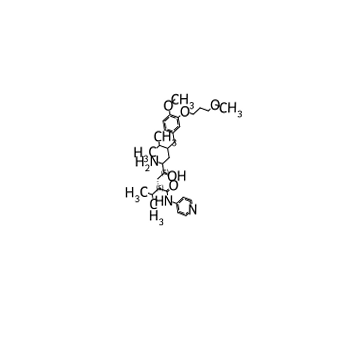 COCCCOc1cc(CC(CC(N)[C@@H](O)C[C@H](C(=O)Nc2ccncc2)C(C)C)C(C)C)ccc1OC